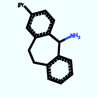 CC(C)c1ccc2c(c1)CCc1ccccc1C2N